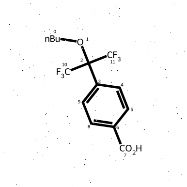 CCCCOC(c1ccc(C(=O)O)cc1)(C(F)(F)F)C(F)(F)F